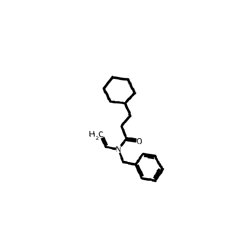 C=CN(Cc1ccccc1)C(=O)CCC1CCCCC1